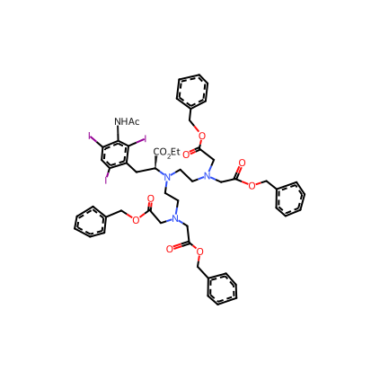 CCOC(=O)[C@H](Cc1c(I)cc(I)c(NC(C)=O)c1I)N(CCN(CC(=O)OCc1ccccc1)CC(=O)OCc1ccccc1)CCN(CC(=O)OCc1ccccc1)CC(=O)OCc1ccccc1